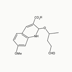 COc1ccc2c(c1)NC(OC(C)CCC=O)C(C(=O)O)=C2